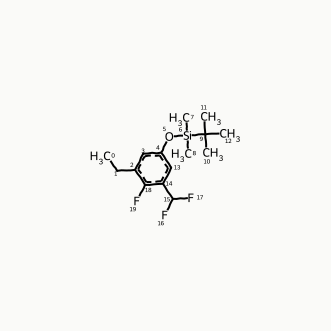 CCc1cc(O[Si](C)(C)C(C)(C)C)cc(C(F)F)c1F